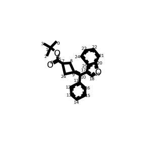 CC(C)(C)OC(=O)C1CC(=C(c2ccccc2)c2coc3ccccc23)C1